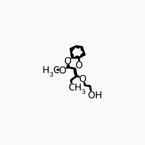 CCC(OCCO)=C(Oc1ccccc1)C(=O)OC